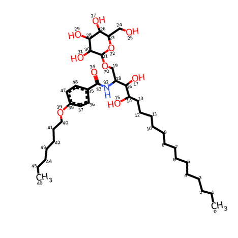 CCCCCCCCCCCCCCC(O)C(O)C(COC1OC(CO)C(O)C(O)C1O)NC(=O)c1ccc(OCCCCCCC)cc1